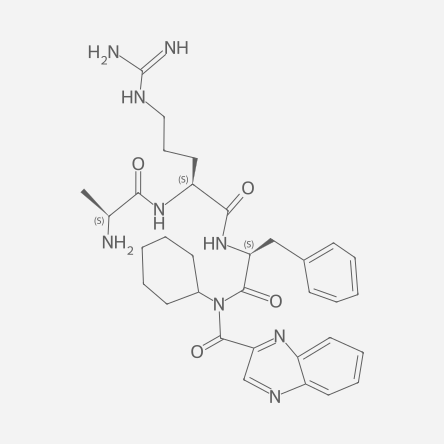 C[C@H](N)C(=O)N[C@@H](CCCNC(=N)N)C(=O)N[C@@H](Cc1ccccc1)C(=O)N(C(=O)c1cnc2ccccc2n1)C1CCCCC1